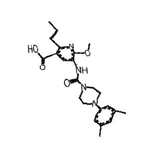 CCCc1nc(OC)c(NC(=O)N2CCN(c3cc(C)cc(C)c3)CC2)cc1C(=O)O